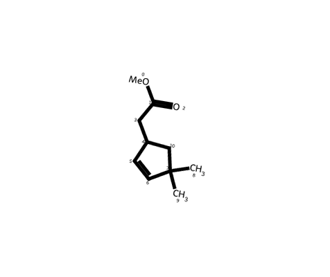 COC(=O)CC1C=CC(C)(C)C1